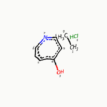 CC.Cl.Oc1ccncc1